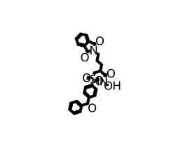 O=C(c1ccccc1)c1ccc(S(=O)(=O)CC(CCCN2C(=O)c3ccccc3C2=O)C(=O)NO)cc1